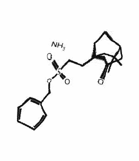 CC1(C)C2CCC1(CCS(=O)(=O)OCc1ccccc1)C(=O)C2.N